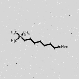 CCCCCCCCCCCCC[N+](C)(C)C